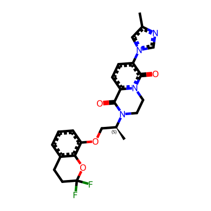 Cc1cn(-c2ccc3n(c2=O)CCN([C@@H](C)COc2cccc4c2OC(F)(F)CC4)C3=O)cn1